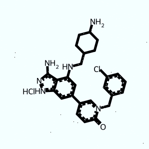 Cl.Nc1n[nH]c2cc(-c3ccc(=O)n(Cc4cccc(Cl)c4)c3)cc(NCC3CCC(N)CC3)c12